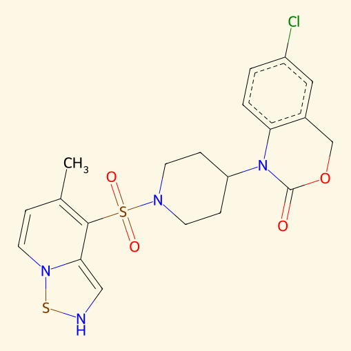 CC1=C(S(=O)(=O)N2CCC(N3C(=O)OCc4cc(Cl)ccc43)CC2)C2=CNSN2C=C1